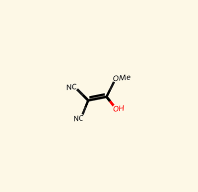 COC(O)=C(C#N)C#N